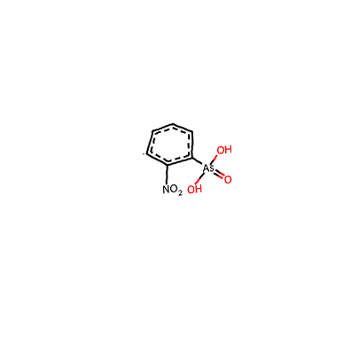 O=[N+]([O-])c1[c]cccc1[As](=O)(O)O